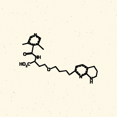 Cc1cncc(C)c1C(=O)NC(CCOCCCCc1ccc2c(n1)NCCC2)C(=O)O